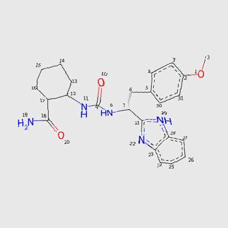 COc1ccc(C[C@@H](NC(=O)NC2CCCCC2C(N)=O)c2nc3ccccc3[nH]2)cc1